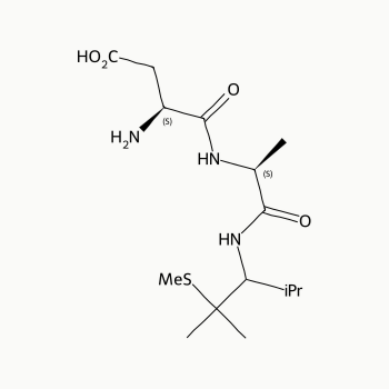 CSC(C)(C)C(NC(=O)[C@H](C)NC(=O)[C@@H](N)CC(=O)O)C(C)C